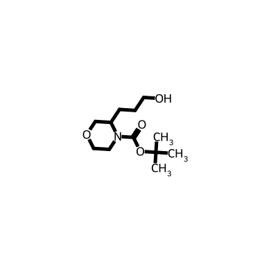 CC(C)(C)OC(=O)N1CCOCC1CCCO